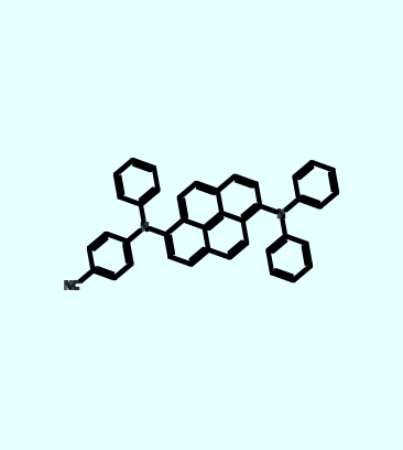 N#Cc1ccc(N(c2ccccc2)c2ccc3ccc4c(N(c5ccccc5)c5ccccc5)ccc5ccc2c3c54)cc1